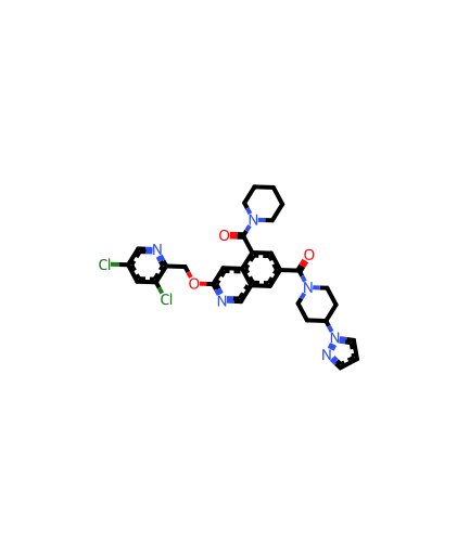 O=C(c1cc(C(=O)N2CCCCC2)c2cc(OCc3ncc(Cl)cc3Cl)ncc2c1)N1CCC(n2cccn2)CC1